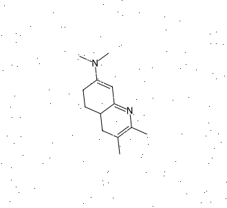 CC1=C(C)N=C2C=C(N(C)C)CCC2C1